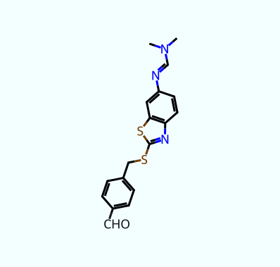 CN(C)/C=N/c1ccc2nc(SCc3ccc(C=O)cc3)sc2c1